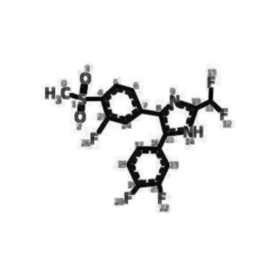 CS(=O)(=O)c1ccc(-c2nc(C(F)F)[nH]c2-c2ccc(F)c(F)c2)cc1F